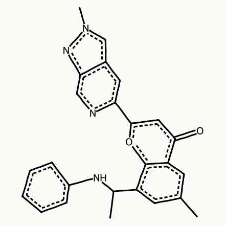 Cc1cc(C(C)Nc2ccccc2)c2oc(-c3cc4cn(C)nc4cn3)cc(=O)c2c1